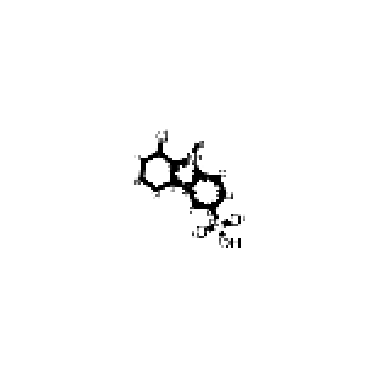 Cn1c2c(c3cc(S(=O)(=O)O)ccc31)CCCC2Cl